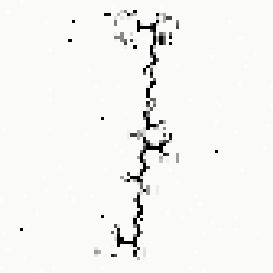 C=C(NCCOCCOCC(=O)NC(CCC(=O)NCCCCC(C)C(C)=O)C(=O)O)C(C)SC